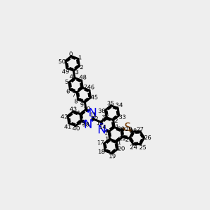 c1ccc(-c2ccc3cc(-c4nc(-c5nc6c7ccccc7c7c8ccccc8sc7c6c6ccccc56)nc5ccccc45)ccc3c2)cc1